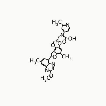 COc1cnc2c(-c3cc4c5c(cc(C)c4o3)O[C@H](CN(C(=O)O)c3ccnc(C)c3)CO5)cc(C)cc2n1